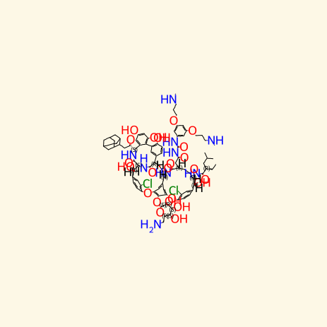 CC[C@H](CC(C)C)C(=O)N[C@H]1C(=O)C[C@@H](CC(=O)NC(=O)Nc2cc(OCCCNC)cc(OCCCNC)c2)C(=O)N[C@H]2C(=O)C[C@H]3C(=O)N[C@H](C(=O)N[C@H](C(=O)CC4C5CC6CC(C5)CC4C6)c4cc(O)cc(O)c4-c4cc3ccc4O)[C@H](O)c3ccc(c(Cl)c3)Oc3cc2cc(c3O[C@@H]2O[C@H](CN)[C@@H](O)[C@H](O)[C@H]2O)Oc2ccc(cc2Cl)[C@H]1O